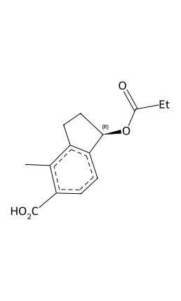 CCC(=O)O[C@@H]1CCc2c1ccc(C(=O)O)c2C